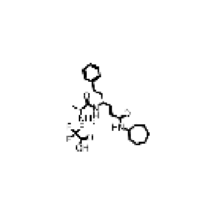 C[C@H](N)C(=O)N[C@H](/C=C/C(=O)NC1CCCCCC1)CCc1ccccc1.O=C(O)C(F)(F)F